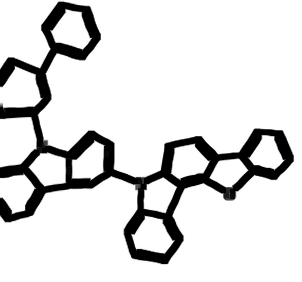 c1ccc(-c2cccc(-n3c4ccccc4c4cc(-n5c6ccccc6c6c7oc8ccccc8c7ccc65)ccc43)c2)cc1